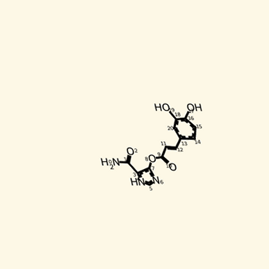 NC(=O)c1[nH]cnc1OC(=O)C=Cc1ccc(O)c(O)c1